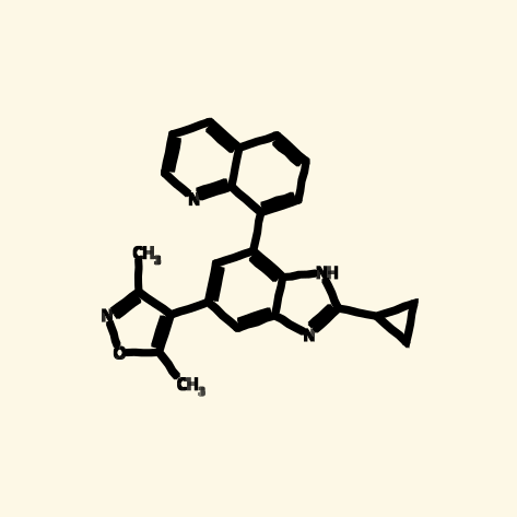 Cc1noc(C)c1-c1cc(-c2cccc3cccnc23)c2[nH]c(C3CC3)nc2c1